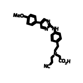 COc1ccc(-c2cnc(Nc3ccc(CCN(CCC#N)CC(=O)O)cc3)nc2)cc1